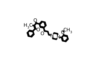 COc1ccccc1N1CCN(CCC(=O)c2cccc3c(=O)c(C)c(-c4ccccc4)oc23)CC1